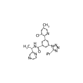 Cc1cnc(-c2cc(C(=O)NC(C)c3cnccn3)cc(-n3nnnc3C(C)C)c2)c(Cl)c1